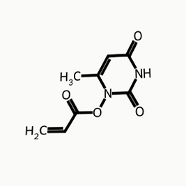 C=CC(=O)On1c(C)cc(=O)[nH]c1=O